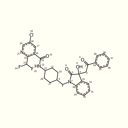 O=C(CC1(O)C(=O)N(CC2CCC(NC(=O)c3cc(Cl)cnc3C(F)F)CC2)c2ccccc21)c1ccccc1